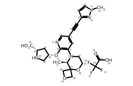 C[C@H]1N(c2cc(C#Cc3ccn(C)n3)cnc2O[C@@H]2CN[C@H](C(=O)O)C2)CCOC12COC2.O=C(O)C(F)(F)F